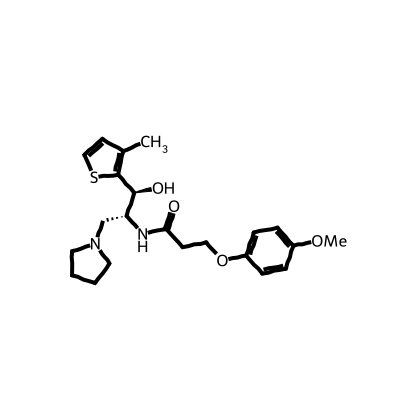 COc1ccc(OCCC(=O)N[C@H](CN2CCCC2)[C@H](O)c2sccc2C)cc1